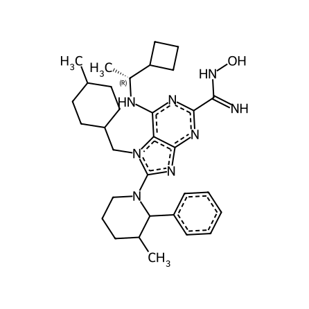 CC1CCC(Cn2c(N3CCCC(C)C3c3ccccc3)nc3nc(C(=N)NO)nc(N[C@H](C)C4CCC4)c32)CC1